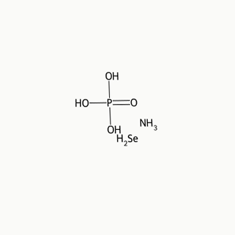 N.O=P(O)(O)O.[SeH2]